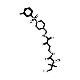 CC(C)(CO)[C@@H](O)C(=O)NCCC(=O)C(=O)NCC1CCN(S(=O)(=O)c2cccc(F)c2)CC1